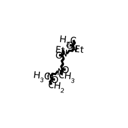 C=CC(=O)N(C)CCCN(C)C(=O)/C=C/C=C/C(=O)N(CC)CCCN(CC)C(=O)C=C